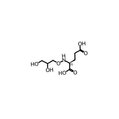 O=C(O)CC[C@H](NOCC(O)CO)C(=O)O